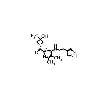 Cc1nc(C(=O)N2CC(O)(C(F)(F)F)C2)nc(NCCc2cn[nH]c2)c1C